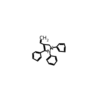 C=CC1=C(c2ccccc2)N(c2ccccc2)N(c2ccccc2)C1